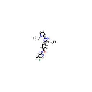 CCOC(=O)c1[nH]c(C2CCCCN2C(=O)O)nc1-c1ccc(C(=O)Nc2cc(C)c(F)cn2)cc1